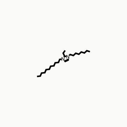 CCCCCCCCCCCN1C=CN(CCCCCCCC)C1CC